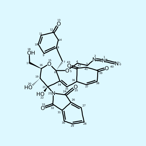 [N-]=[N+]=NCCO[C@]1(CC2=CC=CC(=O)C2)O[C@H](CO)[C@@H](O)[C@@](O)(N2C(=O)c3ccccc3C2=O)C1=CC1C=CC(=O)CC1=O